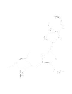 COC1=CC(c2cc3ncccc3[nH]2)=NC1=Cc1[nH]c(C)cc1C